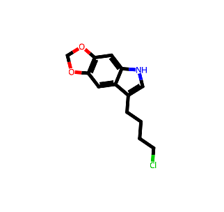 ClCCCCc1c[nH]c2cc3c(cc12)OCO3